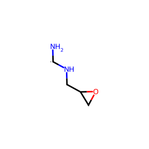 N[CH]NCC1CO1